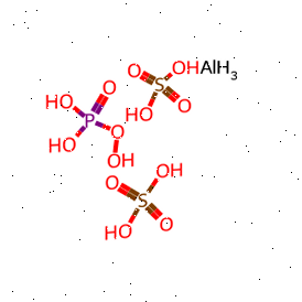 O=P(O)(O)OO.O=S(=O)(O)O.O=S(=O)(O)O.[AlH3]